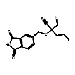 CCCC(C#N)(CF)OCc1ccc2c(c1)C(=O)NC2=O